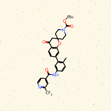 Cc1ccc(NC(=O)c2ccnc(C(F)(F)F)c2)cc1-c1ccc2c(c1)OC1(CCN(C(=O)OC(C)(C)C)CC1)CC2=O